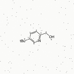 CC(C)(C)c1ccc(CO)nc1